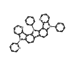 c1ccc(-n2c3cccnc3c3c2ccc2c4ccc5c(c6ncccc6n5-c5ccccn5)c4n(-c4ccccc4)c23)cc1